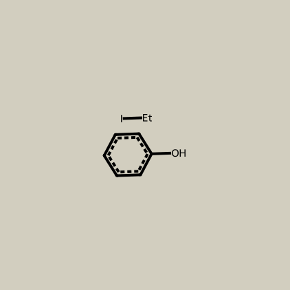 CCI.Oc1ccccc1